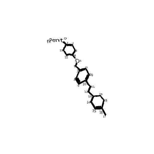 CCCCCC1=CCC(OCc2ccc(CCC3CC=C(C)CC3)cc2)CC1